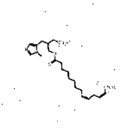 CCCCC/C=C\C/C=C\CCCCCCCC(=O)OCC(CC(=O)O)Cc1cncn1C